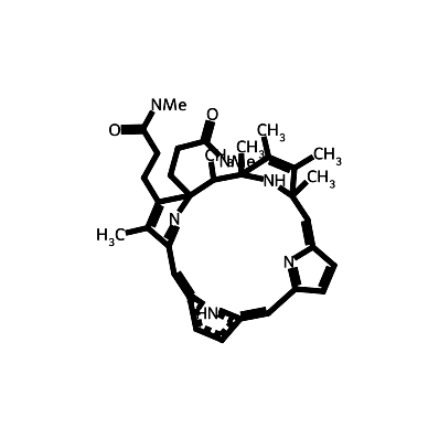 CNC(=O)CCC1=C(C)C2=NC1(CCC(=O)NC)C(C)C1(C)NC(C)(C=C3C=CC(=N3)C=c3ccc([nH]3)=C2)C(C)=C1C